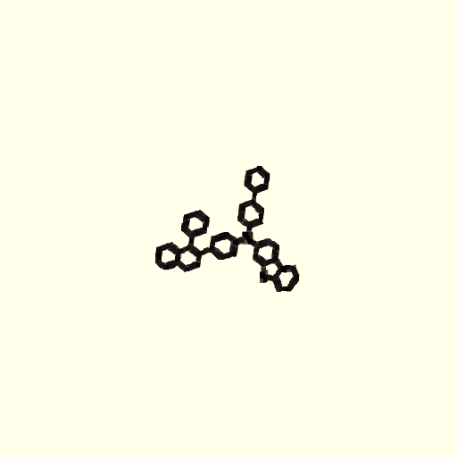 c1ccc(-c2ccc(N(c3ccc(-c4ccc5ccccc5c4-c4ccccc4)cc3)c3ccc4c(c3)sc3ccccc34)cc2)cc1